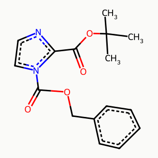 CC(C)(C)OC(=O)c1nccn1C(=O)OCc1ccccc1